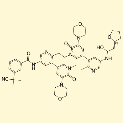 Cc1ncc(NC(O)C[C@@H]2CCCO2)cc1-c1cc(N2CCOCC2)c(=O)n(CCc2ncc(NC(=O)c3cccc(C(C)(C)C#N)c3)cc2-c2cc(N3CCOCC3)c(=O)n(C)c2)c1